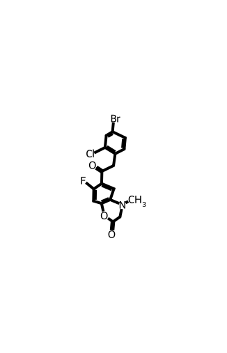 CN1CC(=O)Oc2cc(F)c(C(=O)Cc3ccc(Br)cc3Cl)cc21